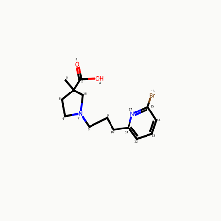 CC1(C(=O)O)CCN(CCCc2cccc(Br)n2)C1